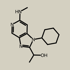 CNc1cc2c(cn1)nc(C(C)O)n2C1CCCCC1